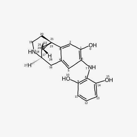 Oc1cc2c(cc1Nc1c(O)cccc1O)C[C@H]1NCC[C@@]23CCCC[C@@H]13